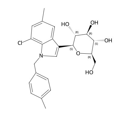 Cc1ccc(Cn2cc([C@@H]3O[C@H](CO)[C@@H](O)[C@H](O)[C@H]3O)c3cc(C)cc(Cl)c32)cc1